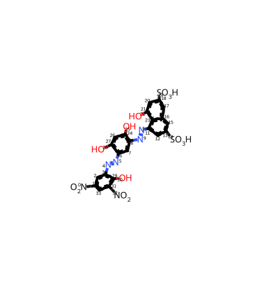 O=[N+]([O-])c1cc(/N=N/c2cc(/N=N/c3cc(S(=O)(=O)O)cc4cc(S(=O)(=O)O)cc(O)c34)c(O)cc2O)c(O)c([N+](=O)[O-])c1